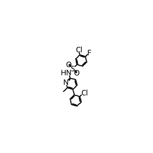 Cc1nc(NS(=O)(=O)c2ccc(F)c(Cl)c2)ccc1-c1ccccc1Cl